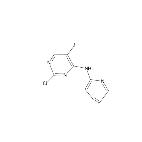 Clc1ncc(I)c(Nc2ccccn2)n1